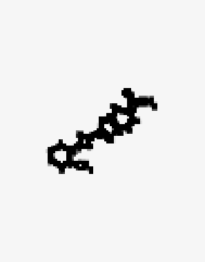 C[C@H]1CCCCN1C1CC(c2nc3ccc(C(N)=O)cc3s2)C1